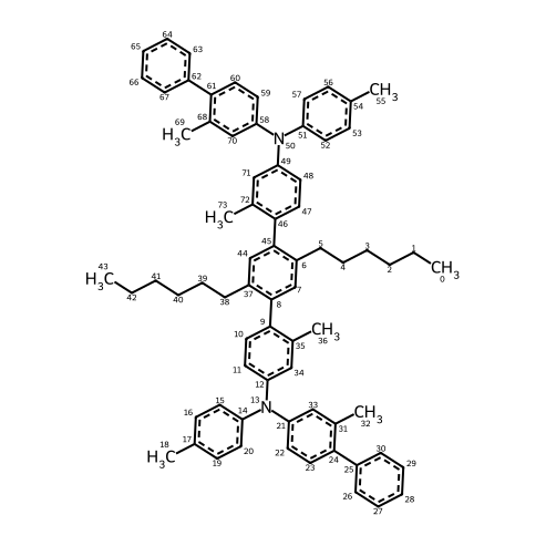 CCCCCCc1cc(-c2ccc(N(c3ccc(C)cc3)c3ccc(-c4ccccc4)c(C)c3)cc2C)c(CCCCCC)cc1-c1ccc(N(c2ccc(C)cc2)c2ccc(-c3ccccc3)c(C)c2)cc1C